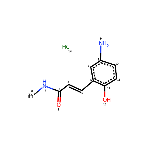 CC(C)NC(=O)C=Cc1cc(N)ccc1O.Cl